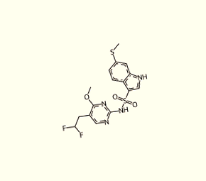 COc1nc(NS(=O)(=O)c2c[nH]c3cc(SC)ccc23)ncc1CC(F)F